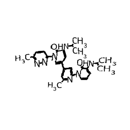 Cc1ccc(-n2cc(-c3cc(C)nc(-n4cccc(NC(C)C)c4=O)c3)cc(NC(C)C)c2=O)nn1